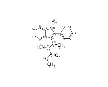 COC(=O)[C@H](N)[C@H](C)c1c(-c2ccccc2)n(C)c2ccccc12